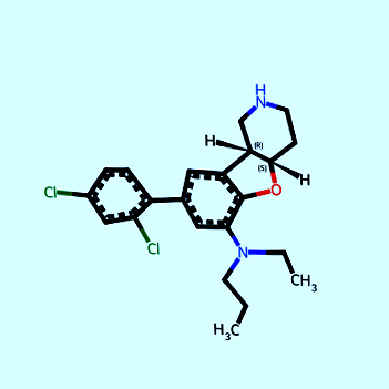 CCCN(CC)c1cc(-c2ccc(Cl)cc2Cl)cc2c1O[C@H]1CCNC[C@@H]21